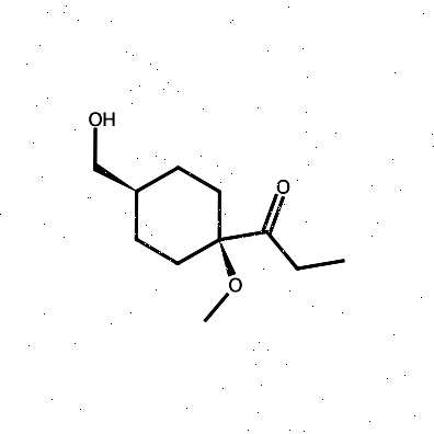 CCC(=O)[C@]1(OC)CC[C@@H](CO)CC1